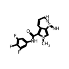 Cn1cc2c(c1C(=O)Nc1cc(F)c(F)c(F)c1)C=CCNS2=N